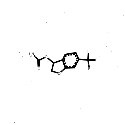 NC(=O)OC1COc2cc(C(F)(F)F)ccc21